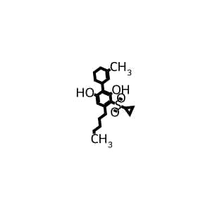 CCCCCc1cc(O)c(C2C=C(C)CCC2)c(O)c1S(=O)(=O)C1CC1